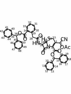 CC(=O)OC(C#N)C1=C(C(=O)OC(c2ccccc2)c2ccccc2)N2C(=O)[C@@H](NC(=O)Cc3ccccc3C(=O)OC(c3ccccc3)c3ccccc3)[C@H]2SC1